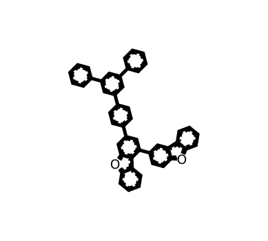 c1ccc(-c2cc(-c3ccccc3)cc(-c3ccc(-c4cc(-c5ccc6oc7ccccc7c6c5)c5c(c4)oc4ccccc45)cc3)c2)cc1